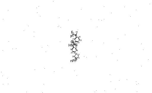 CCCN1CCC(c2ccc(NS(=O)(=O)c3cccc([C@H](C)C(F)F)c3)cc2)C1